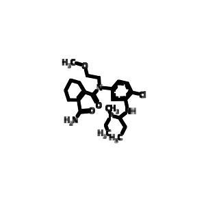 CCC(Nc1cc(N(CCOC)C(=O)C2=C(C(N)=O)CCCC2)ccc1Cl)P(C)CC